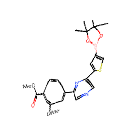 COC(=O)c1ccc(-c2cncc(-c3cc(B4OC(C)(C)C(C)(C)O4)cs3)n2)cc1OC